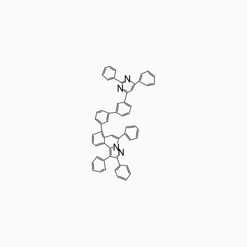 c1ccc(-c2cc(-c3cccc(-c4cccc(-c5cccc6c5cc(-c5ccccc5)n5nc(-c7ccccc7)c(-c7ccccc7)c65)c4)c3)nc(-c3ccccc3)n2)cc1